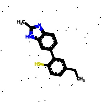 CCc1ccc(S)c(-c2ccc3nc(C)[nH]c3c2)c1